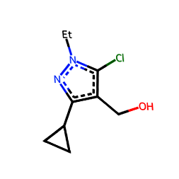 CCn1nc(C2CC2)c(CO)c1Cl